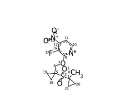 CC1(S(=O)(=O)C2(COc3nccc([N+](=O)[O-])c3F)CC2)CC1